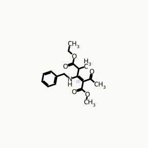 CCOC(=O)C(C)/C(NCc1ccccc1)=C(\C(C)=O)C(=O)OC